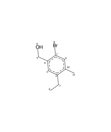 CCc1cc(CO)c(Br)cc1C